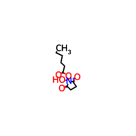 CCCCCC(=O)O[N+]1(O)C(=O)CCC1=O